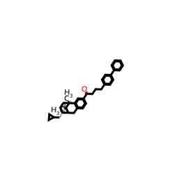 C[C@H]1C2Cc3ccc(C(=O)CCCc4ccc(-c5ccccc5)cc4)cc3[C@@]1(C)CC[C@H]2CC1CC1